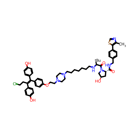 Cc1ncsc1-c1ccc(CNC(=O)[C@@H]2C[C@@H](O)CN2C(=O)C(NCCCCCCCN2CCN(CCOc3ccc(C(=C(CCCl)c4ccc(O)cc4)c4ccc(O)cc4)cc3)CC2)C(C)(C)C)cc1